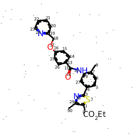 CCOC(=O)c1sc(-c2ccc(C)c(NC(=O)c3ccc(OCc4ccccn4)cc3)c2)nc1C